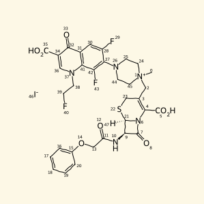 C[N+]1(CC2=C(C(=O)O)N3C(=O)[C@@H](NC(=O)COc4ccccc4)[C@H]3SC2)CCN(c2c(F)cc3c(=O)c(C(=O)O)cn(CCF)c3c2F)CC1.[I-]